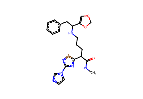 CNC(=O)C(CCCNC(Cc1ccccc1)C1=COCO1)c1nc(-n2ccnc2)ns1